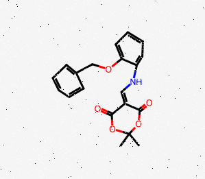 CC1(C)OC(=O)C(=CNc2ccccc2OCc2ccccc2)C(=O)O1